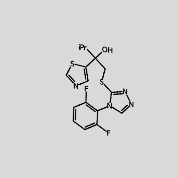 CC(C)C(O)(CSc1nncn1-c1c(F)cccc1F)c1cncs1